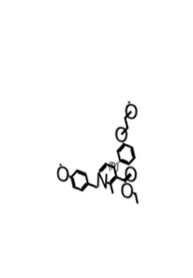 CCOC(=O)C1=C(C)N(Cc2ccc(OC)cc2)C=C[C@@H]1c1cccc(OCCOC)c1